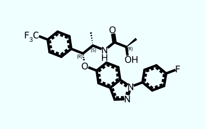 C[C@H](NC(=O)[C@@H](C)O)[C@H](Oc1ccc2c(cnn2-c2ccc(F)cc2)c1)c1ccc(C(F)(F)F)cc1